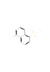 Cc1cccc2c(S(C)(=O)=O)cccc12